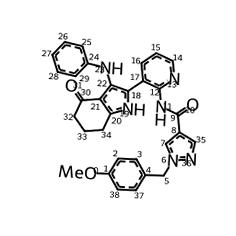 COc1ccc(Cn2cc(C(=O)Nc3ncccc3-c3[nH]c4c(c3Nc3ccccc3)C(=O)CCC4)cn2)cc1